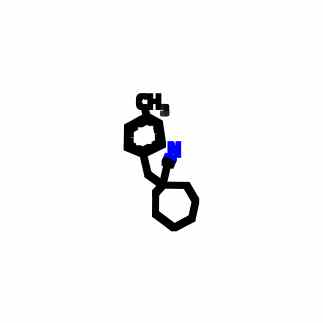 Cc1ccc(CC2(C#N)CCCCCC2)cc1